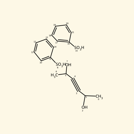 CC(O)C#CC(C)O.O=S(=O)(O)c1ccccc1.O=S(=O)(O)c1ccccc1